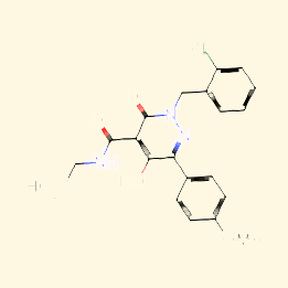 COc1ccc(-c2nn(Cc3ccccc3Cl)c(=O)c(C(=O)NCC(=O)O)c2O)cc1